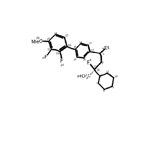 CCC(C[C@@](F)(C(=O)O)C1CCCCC1)c1ccc(-c2ccc(OC)c(F)c2F)cc1